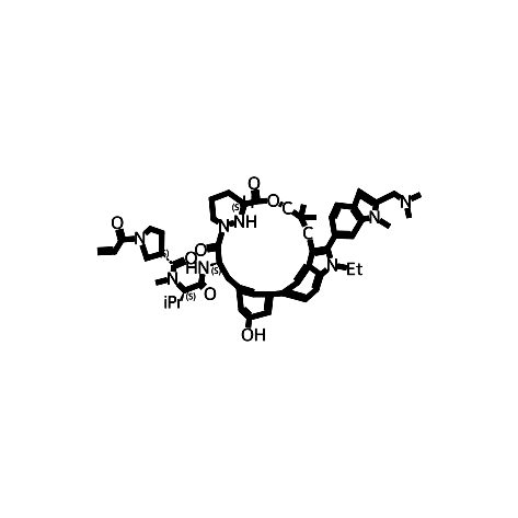 C=CC(=O)N1CC[C@H](C(=O)N(C)[C@H](C(=O)N[C@H]2Cc3cc(O)cc(c3)-c3ccc4c(c3)c(c(-c3ccc5cc(CN(C)C)n(C)c5c3)n4CC)CC(C)(C)COC(=O)[C@@H]3CCCN(N3)C2=O)C(C)C)C1